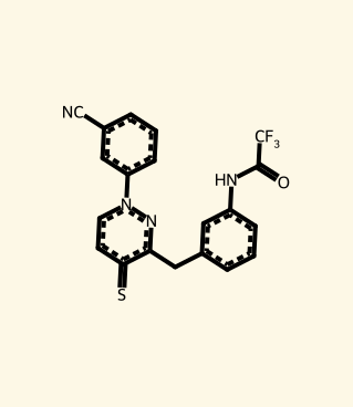 N#Cc1cccc(-n2ccc(=S)c(Cc3cccc(NC(=O)C(F)(F)F)c3)n2)c1